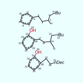 CCC(C)CC(C)CCc1ccccc1.CCC(C)CC(C)CCc1ccccc1O.CCCCCCCCCCCCc1ccccc1O